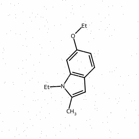 CCOc1ccc2cc(C)n(CC)c2c1